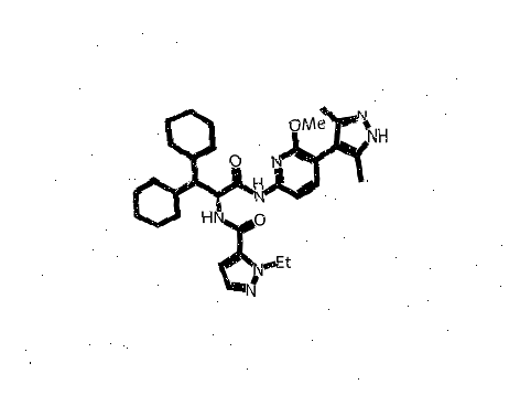 CCn1nccc1C(=O)N[C@H](C(=O)Nc1ccc(-c2c(C)n[nH]c2C)c(OC)n1)C(C1CCCCC1)C1CCCCC1